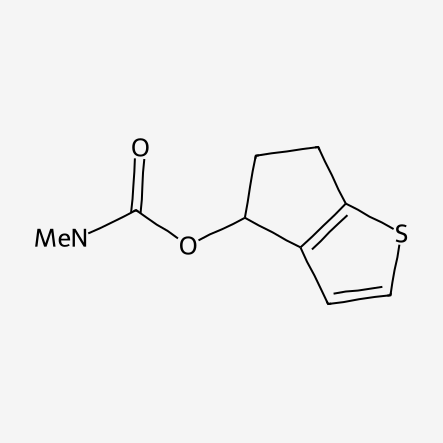 CNC(=O)OC1CCc2sccc21